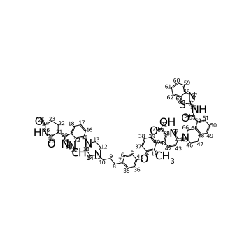 Cc1c(Oc2ccc(CCCN3CCN(c4cccc5c(C6CCC(=O)NC6=O)nn(C)c45)CC3)cc2)cccc1-c1ccc(N2CCc3cccc(C(=O)Nc4nc5ccccc5s4)c3C2)nc1C(=O)O